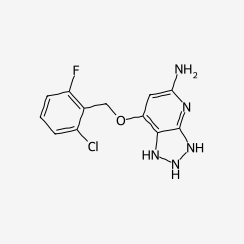 Nc1cc(OCc2c(F)cccc2Cl)c2c(n1)NNN2